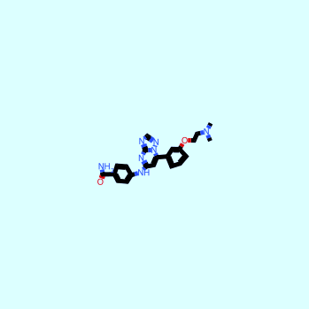 CN(C)CCOc1cccc(-c2cc(Nc3ccc(C(N)=O)cc3)nc3ncnn23)c1